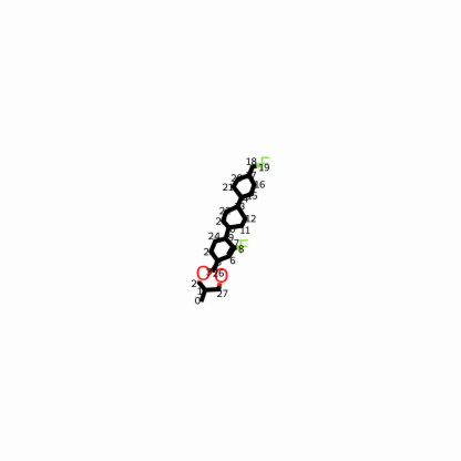 CC1COC(C2C=C(F)C(C3CCC(C4CCC(CF)CC4)CC3)CC2)OC1